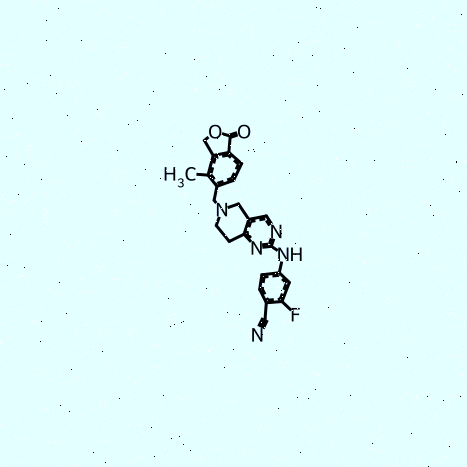 Cc1c(CN2CCc3nc(Nc4ccc(C#N)c(F)c4)ncc3C2)ccc2c1COC2=O